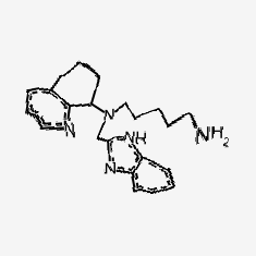 NCCCCCN(Cc1nc2ccccc2[nH]1)C1CCCc2cccnc21